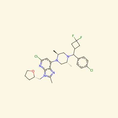 Cc1nc2c(N3C[C@@H](C)N(C(c4ccc(Cl)cc4)C4CC(F)(F)C4)C[C@@H]3C)cc(Cl)nc2n1C[C@@H]1CCCO1